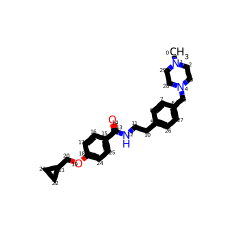 CN1CCN(Cc2ccc(CCNC(=O)c3ccc(OCC4CC4)cc3)cc2)CC1